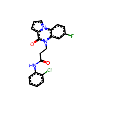 O=C(CCn1c(=O)c2cccn2c2ccc(F)cc21)Nc1ccccc1Cl